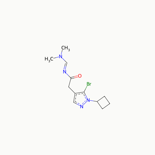 CN(C)C=NC(=O)Cc1cnn(C2CCC2)c1Br